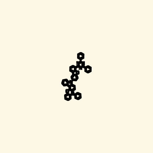 c1ccc(-c2nc(-c3ccccc3)nc(-c3cccc4c3oc3ccc(-n5c6ccccc6c6c7c(ccc65)N(c5ccccc5)c5ccccc5O7)cc34)n2)cc1